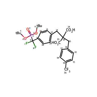 CC(C)(C)OP(=O)(OC(C)(C)C)C(F)(F)c1ccc(CC(Cc2ccc(C(F)(F)F)cc2)(C(=O)O)C(=O)O)cc1